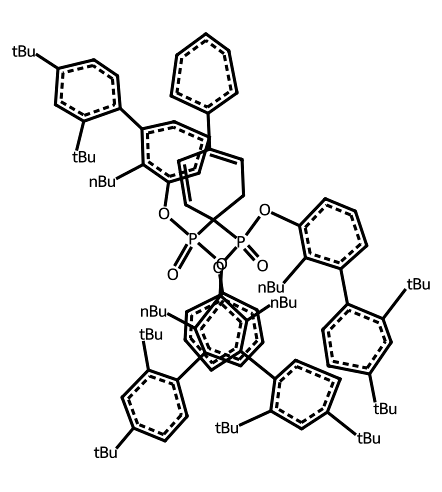 CCCCc1c(OP(=O)(Oc2cccc(-c3ccc(C(C)(C)C)cc3C(C)(C)C)c2CCCC)C2(P(=O)(Oc3cccc(-c4ccc(C(C)(C)C)cc4C(C)(C)C)c3CCCC)Oc3cccc(-c4ccc(C(C)(C)C)cc4C(C)(C)C)c3CCCC)C=CC(c3ccccc3)=CC2)cccc1-c1ccc(C(C)(C)C)cc1C(C)(C)C